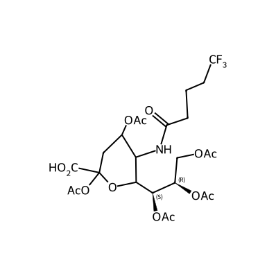 CC(=O)OC[C@@H](OC(C)=O)[C@@H](OC(C)=O)C1OC(OC(C)=O)(C(=O)O)CC(OC(C)=O)C1NC(=O)CCCC(F)(F)F